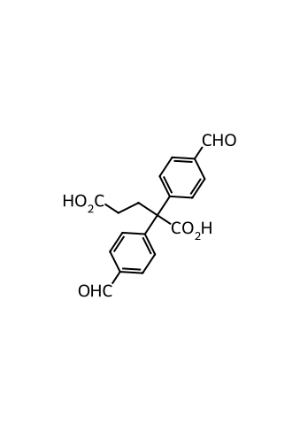 O=Cc1ccc(C(CCC(=O)O)(C(=O)O)c2ccc(C=O)cc2)cc1